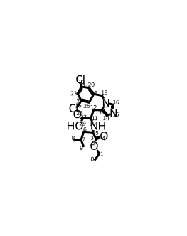 CCOC(=O)C(CC(C)C)NC(Cc1cncn1Cc1cc(Cl)cc(Cl)c1)C(=O)O